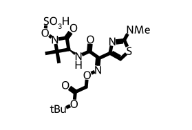 CNc1nc(/C(=N/OCC(=O)OC(C)(C)C)C(=O)N[C@@H]2C(=O)N(OS(=O)(=O)O)C2(C)C)cs1